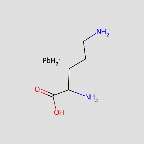 NCCCC(N)C(=O)O.[PbH2]